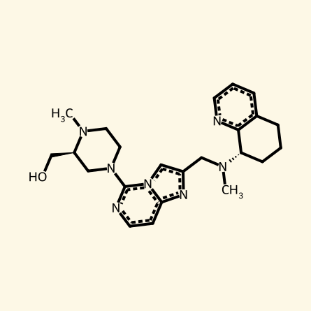 CN1CCN(c2nccc3nc(CN(C)[C@H]4CCCc5cccnc54)cn23)C[C@H]1CO